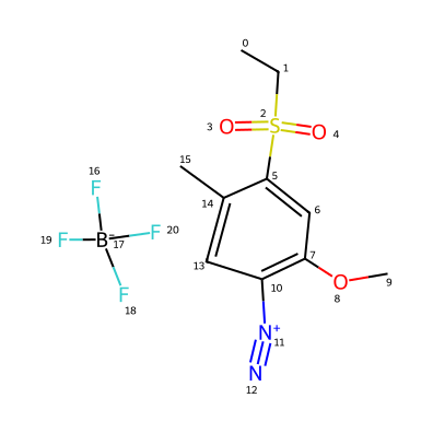 CCS(=O)(=O)c1cc(OC)c([N+]#N)cc1C.F[B-](F)(F)F